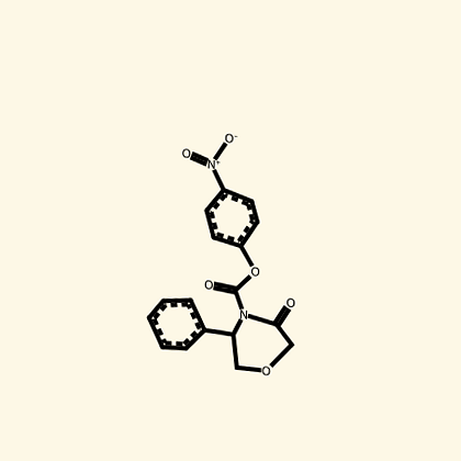 O=C1COCC(c2ccccc2)N1C(=O)Oc1ccc([N+](=O)[O-])cc1